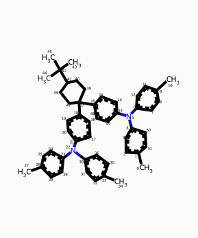 Cc1ccc(N(c2ccc(C)cc2)c2ccc(C3(c4ccc(N(c5ccc(C)cc5)c5ccc(C)cc5)cc4)CCC(C(C)(C)C)CC3)cc2)cc1